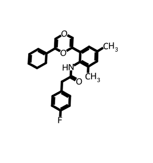 Cc1cc(C)c(NC(=O)Cc2ccc(F)cc2)c(C2=COC=C(C3=CC=CCC3)O2)c1